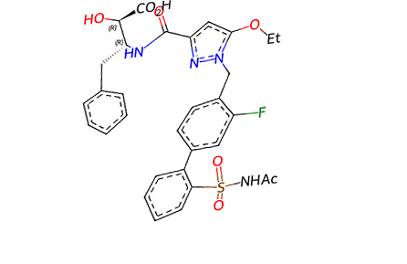 CCOc1cc(C(=O)N[C@H](Cc2ccccc2)[C@@H](O)C(=O)O)nn1Cc1ccc(-c2ccccc2S(=O)(=O)NC(C)=O)cc1F